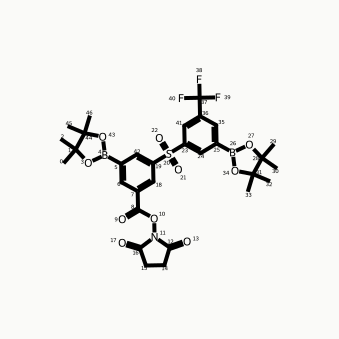 CC1(C)OB(c2cc(C(=O)ON3C(=O)CCC3=O)cc(S(=O)(=O)c3cc(B4OC(C)(C)C(C)(C)O4)cc(C(F)(F)F)c3)c2)OC1(C)C